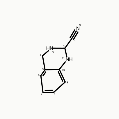 N#CC1NCc2ccccc2N1